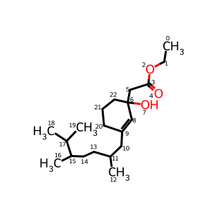 CCOC(=O)CC1(O)C=C(CC(C)CCC(C)C(C)C)CCC1